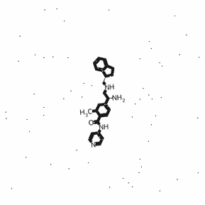 CC1CC([C@@H](N)CNC[C@H]2CCc3ccccc32)=CC=C1C(=O)Nc1ccncc1